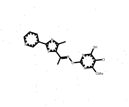 COc1nc(O/N=C(\C)c2sc(-c3cccnc3)nc2C)nc(S)c1Cl